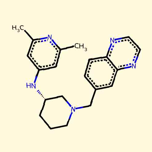 Cc1cc(N[C@H]2CCCN(Cc3ccc4nccnc4c3)C2)cc(C)n1